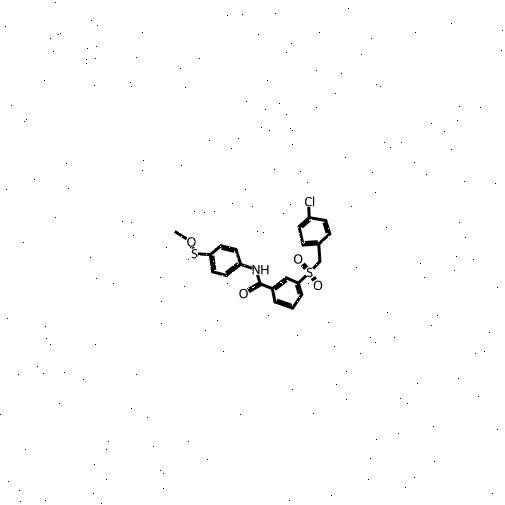 COSc1ccc(NC(=O)c2cccc(S(=O)(=O)Cc3ccc(Cl)cc3)c2)cc1